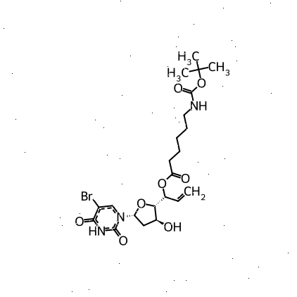 C=CC(OC(=O)CCCCCNC(=O)OC(C)(C)C)[C@H]1O[C@@H](n2cc(Br)c(=O)[nH]c2=O)C[C@@H]1O